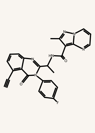 C#Cc1cccc2nc(C(C)NC(=O)c3c(C)nn4cccnc34)n(-c3ccc(F)cc3)c(=O)c12